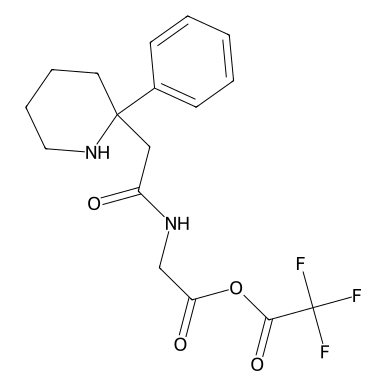 O=C(CC1(c2ccccc2)CCCCN1)NCC(=O)OC(=O)C(F)(F)F